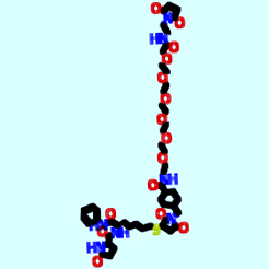 O=C(COCCOCCOCCOCCOCCOCCNC(=O)C1CCC(CN2C(=O)CC(SCCCCC[C@H](NC(=O)C3CCC(=O)N3)C(=O)Nc3ccccc3)C2=O)CC1)NCCN1C(=O)C=CC1=O